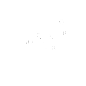 CNc1cnc2cnc(C)cn12